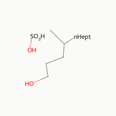 CCCCCCCC(C)CCCO.O=S(=O)(O)O